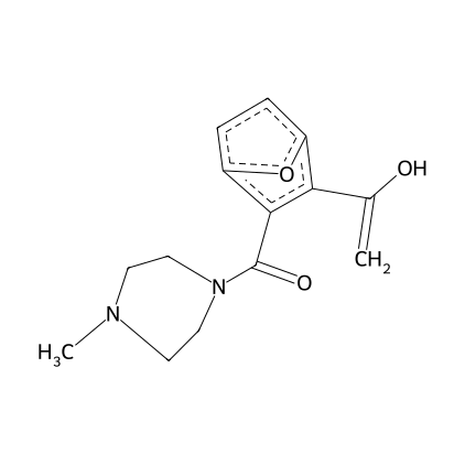 C=C(O)c1c(C(=O)N2CCN(C)CC2)c2ccc1o2